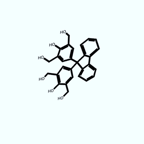 OCc1cc(C2(c3cc(CO)c(O)c(CO)c3)c3ccccc3-c3ccccc32)cc(CO)c1O